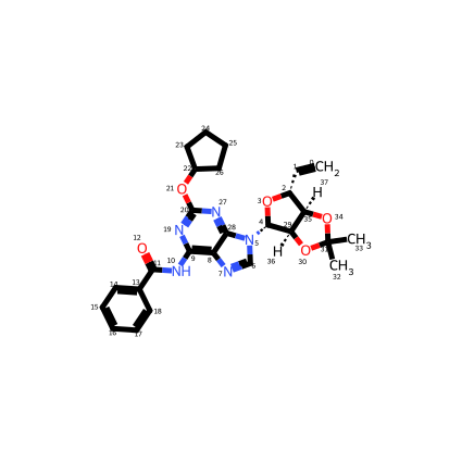 C=C[C@H]1O[C@@H](n2cnc3c(NC(=O)c4ccccc4)nc(OC4CCCC4)nc32)[C@@H]2OC(C)(C)O[C@@H]21